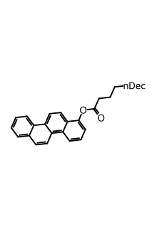 CCCCCCCCCCCCCC(=O)Oc1cccc2c1ccc1c3ccccc3ccc21